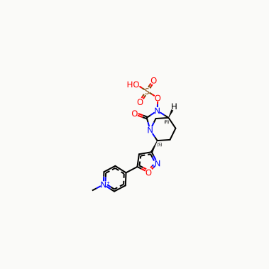 C[n+]1ccc(-c2cc([C@@H]3CC[C@@H]4CN3C(=O)N4OS(=O)(=O)O)no2)cc1